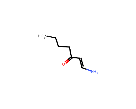 NC=CC(=O)CCCS(=O)(=O)O